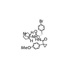 COc1ccc(C2(C(=O)N[C@@H](Cc3ccc(Br)cc3)C(=O)N[C@H]3C[N@]4CC[C@H]3CC4)CC2)cc1